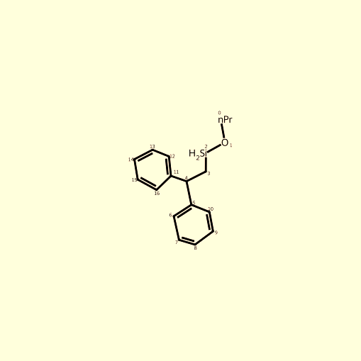 CCCO[SiH2]CC(c1ccccc1)c1ccccc1